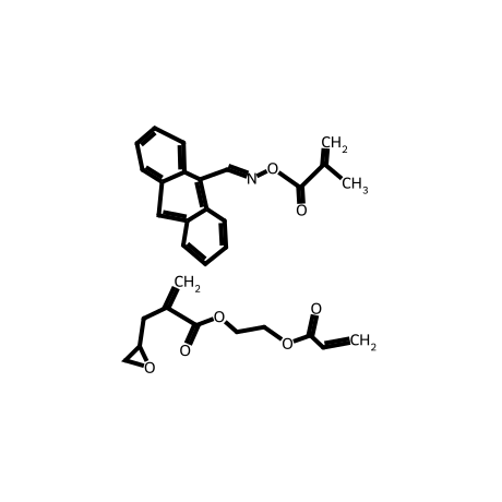 C=C(C)C(=O)ON=Cc1c2ccccc2cc2ccccc12.C=CC(=O)OCCOC(=O)C(=C)CC1CO1